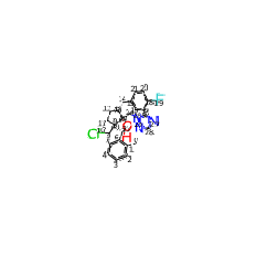 Cc1ccccc1C[C@]1(CCl)CC[C@H](Cc2ccc(F)cc2)[C@@]1(O)Cn1cncn1